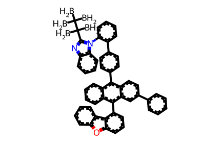 BC(B)(B)C(B)(B)c1nc2ccccc2n1-c1ccccc1-c1ccc(-c2c3ccccc3c(-c3cccc4oc5ccccc5c34)c3cc(-c4ccccc4)ccc23)cc1